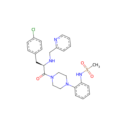 CS(=O)(=O)Nc1ccccc1N1CCN(C(=O)[C@@H](Cc2ccc(Cl)cc2)NCc2ccccn2)CC1